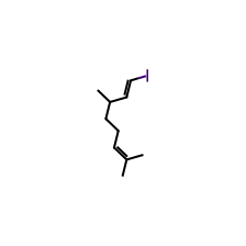 CC(C)=CCCC(C)C=CI